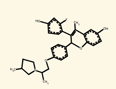 CC1=C(c2ccc(O)cc2F)C(c2ccc(OCC(C)N3CCC(C)C3)cc2)Oc2ccc(O)cc21